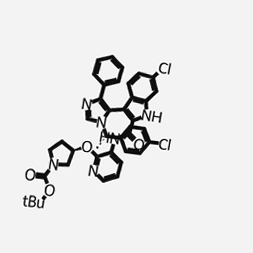 C[C@@H](c1ccc(Cl)cc1)n1cnc(-c2ccccc2)c1-c1c(C(=O)Nc2cccnc2O[C@@H]2CCN(C(=O)OC(C)(C)C)C2)[nH]c2cc(Cl)ccc12